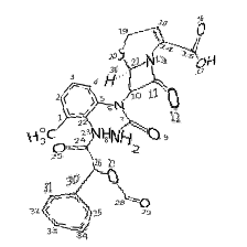 Cc1cccc(N(C(N)=O)C2C(=O)N3C(C(=O)O)=CCS[C@H]23)c1NC(=O)C(OC=O)c1ccccc1